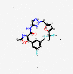 Cc1cc(F)cc(-c2oc(C)nc2C(=O)Nc2cnn(Cc3ccc(C(C)(F)F)o3)n2)c1